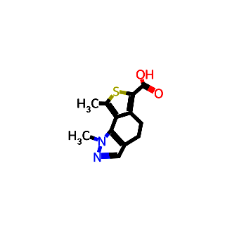 Cc1sc(C(=O)O)c2c1-c1c(cnn1C)CC2